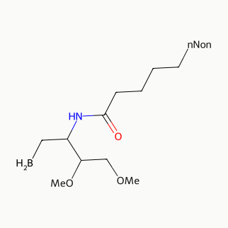 BCC(NC(=O)CCCCCCCCCCCCC)C(COC)OC